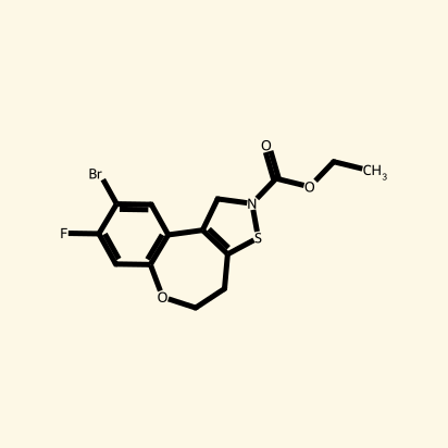 CCOC(=O)N1CC2=C(CCOc3cc(F)c(Br)cc32)S1